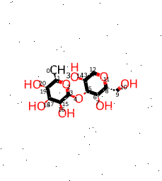 C[C@@H]1O[C@@H](O[C@H]2[C@@H](O)[C@@H](CO)O[CH][C@@H]2O)[C@@H](O)[C@H](O)[C@@H]1O